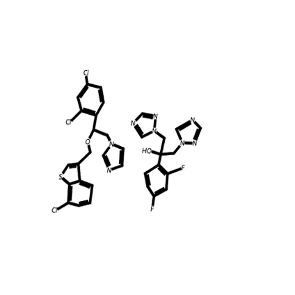 Clc1ccc(C(Cn2ccnc2)OCc2csc3c(Cl)cccc23)c(Cl)c1.OC(Cn1cncn1)(Cn1cncn1)c1ccc(F)cc1F